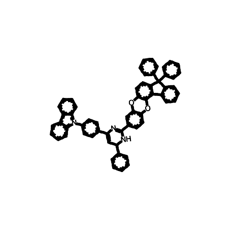 C1=C(c2ccc(-n3c4ccccc4c4ccccc43)cc2)N=C(c2ccc3c(c2)Oc2ccc4c(c2O3)-c2ccccc2C4(c2ccccc2)c2ccccc2)NC1c1ccccc1